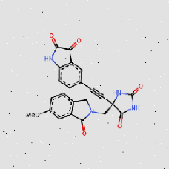 COc1ccc2c(c1)C(=O)N(C[C@@]1(C#Cc3ccc4c(c3)C(=O)C(=O)N4)NC(=O)NC1=O)C2